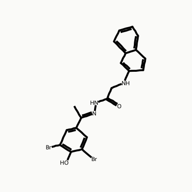 C/C(=N\NC(=O)CNc1ccc2ccccc2c1)c1cc(Br)c(O)c(Br)c1